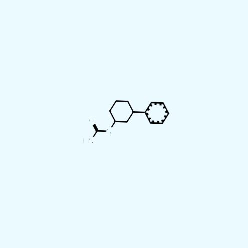 NC(=O)NC1CCCC(c2ccccc2)C1